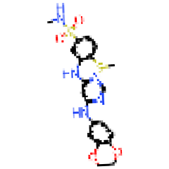 CNS(=O)(=O)c1ccc(SC)c(Nc2cc(Nc3ccc4c(c3)OCCO4)ncn2)c1